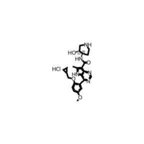 COc1ccc(OCC2CC2)c(-c2ncnc3c(C(=O)N[C@@H]4CCNC[C@@H]4O)c(C)[nH]c23)c1.Cl